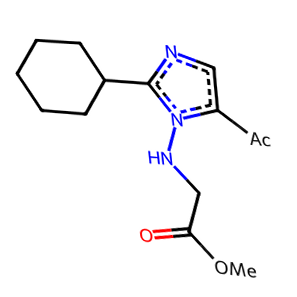 COC(=O)CNn1c(C(C)=O)cnc1C1CCCCC1